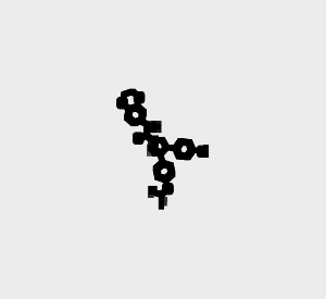 O=C(Nc1ccc2c(c1)OCCO2)N1CC(c2ccc(Cl)cc2)C(c2ccc(OC(F)F)cc2)=N1